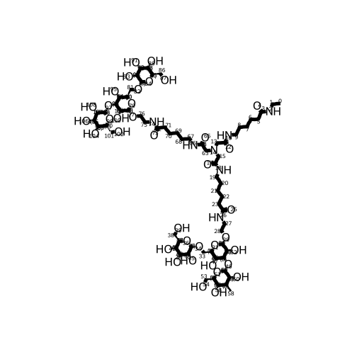 CCNC(=O)CCCCCNC(=O)CN(CC(=O)NCCCCCC(=O)NCCO[C@H]1O[C@H](CO[C@H]2O[C@H](CO)[C@@H](O)[C@H](O)[C@@H]2O)[C@@H](O)[C@H](O[C@H]2O[C@H](CO)[C@@H](O)[C@H](C)[C@@H]2O)[C@@H]1O)CC(=O)NCCCCCC(=O)NCCO[C@H]1O[C@H](CO[C@H]2O[C@H](CO)[C@@H](O)[C@H](O)[C@@H]2O)[C@@H](O)[C@H](O[C@H]2O[C@H](CO)[C@@H](O)[C@H](O)[C@@H]2O)[C@@H]1O